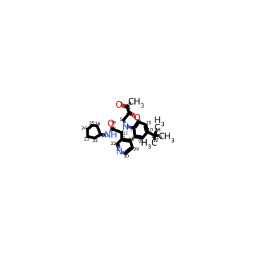 CC(=O)C(=O)CN(c1ccc(C(C)(C)C)cc1)[C@@H](C(=O)NC1CCCCC1)c1cccnc1